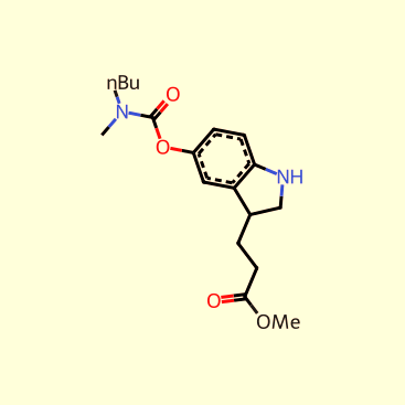 CCCCN(C)C(=O)Oc1ccc2c(c1)C(CCC(=O)OC)CN2